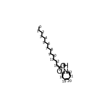 CCCCCCCCCCCCCCC(=O)OC1=CC=CC=CN1